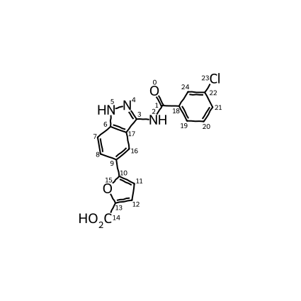 O=C(Nc1n[nH]c2ccc(-c3ccc(C(=O)O)o3)cc12)c1cccc(Cl)c1